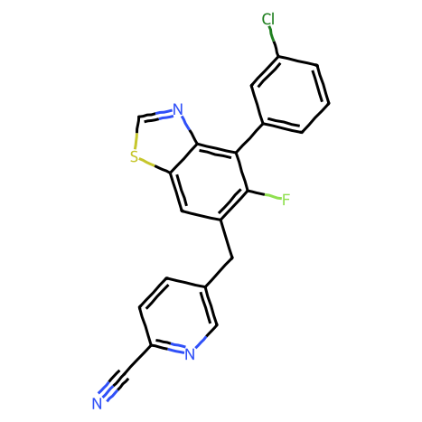 N#Cc1ccc(Cc2cc3scnc3c(-c3cccc(Cl)c3)c2F)cn1